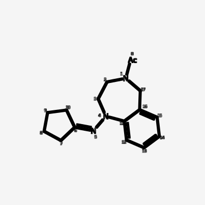 CC(=O)N1CCN(N=C2CCCC2)c2ccccc2C1